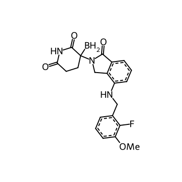 BC1(N2Cc3c(NCc4cccc(OC)c4F)cccc3C2=O)CCC(=O)NC1=O